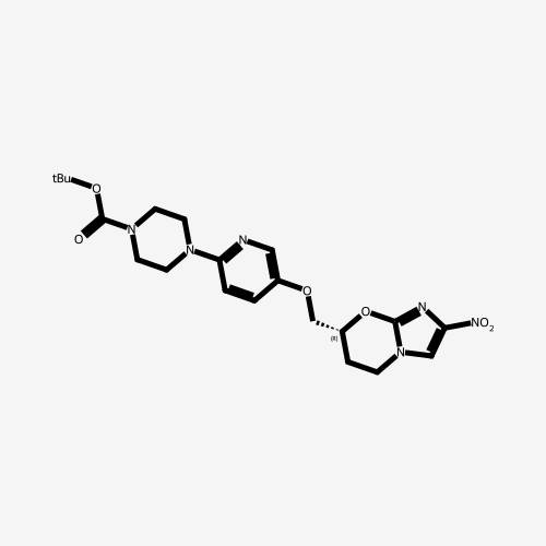 CC(C)(C)OC(=O)N1CCN(c2ccc(OC[C@H]3CCn4cc([N+](=O)[O-])nc4O3)cn2)CC1